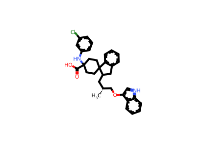 C[C@@H](COc1c[nH]c2ccccc12)CC1Cc2ccccc2C12CCC(Nc1cccc(Cl)c1)(C(=O)O)CC2